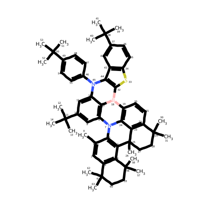 Cc1cc2c(c3c1N1c4cc(C(C)(C)C)cc5c4B(c4ccc6c(c41)C3(C)CCC6(C)C)c1sc3ccc(C(C)(C)C)cc3c1N5c1ccc(C(C)(C)C)cc1)C(C)(C)CCC2(C)C